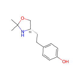 CC1(C)N[C@@H](CCc2ccc(O)cc2)CO1